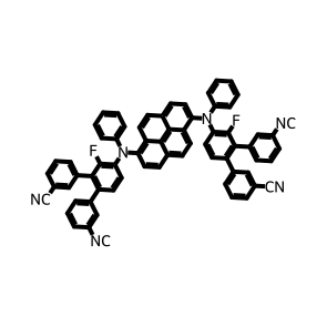 [C-]#[N+]c1cccc(-c2ccc(N(c3ccccc3)c3ccc4ccc5c(N(c6ccccc6)c6ccc(-c7cccc(C#N)c7)c(-c7cccc([N+]#[C-])c7)c6F)ccc6ccc3c4c65)c(F)c2-c2cccc(C#N)c2)c1